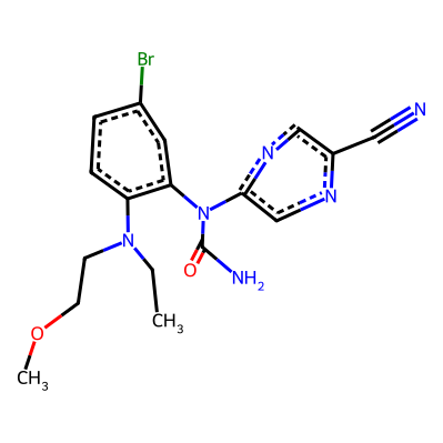 CCN(CCOC)c1ccc(Br)cc1N(C(N)=O)c1cnc(C#N)cn1